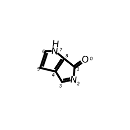 O=C1N=Cc2cc[nH]c21